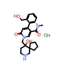 CN(C)C(=O)c1cn(CC2(O)CCNCC23CCCC3)c(=O)cc1-c1ccccc1CO.Cl